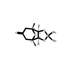 CC(C)(C)[Si]1(C(C)(C)C)O[C@@H]2[C@H](O1)[C@@]1(C)CC(=O)C[C@]2(C)O1